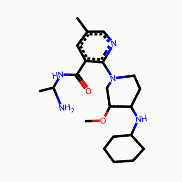 COC1CN(c2ncc(C)cc2C(=O)NC(C)N)CCC1NC1CCCCC1